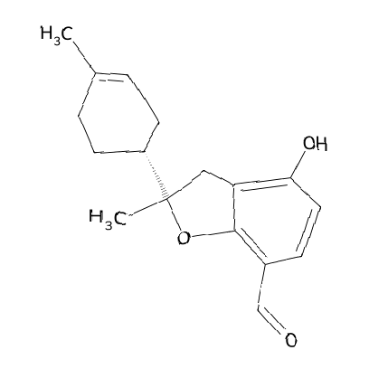 CC1=CC[C@H](C2(C)Cc3c(O)ccc(C=O)c3O2)CC1